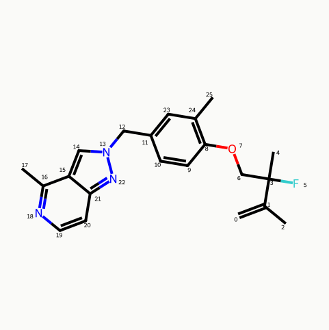 C=C(C)C(C)(F)COc1ccc(Cn2cc3c(C)nccc3n2)cc1C